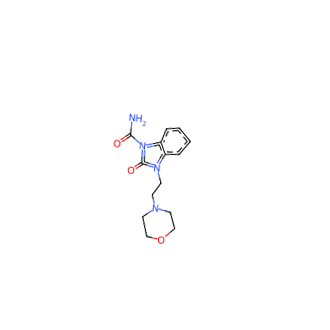 NC(=O)n1c(=O)n(CCN2CCOCC2)c2ccccc21